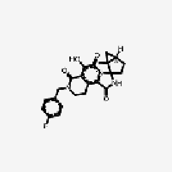 CC12C[C@@H]1CCC21NC(=O)c2c3c(c(O)c(=O)n21)C(=O)N(Cc1ccc(F)cc1)CC3